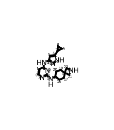 c1cc(Nc2cc(C3CC3)[nH]n2)nc(NC2CCC3(CC2)CNC3)n1